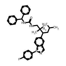 CC(C)CC(c1ccc2c(cnn2-c2ccc(F)cc2)c1)C(C)(C)CNC(=O)NC(c1ccccc1)c1ccccc1